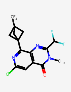 Cn1c(C(F)F)nc2c(C34CC(C(F)(F)F)(C3)C4)nc(Cl)cc2c1=O